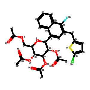 CC(=O)OC[C@H]1O[C@@H](c2cc(Cc3ccc(Cl)s3)c(F)c3ccccc23)[C@H](OC(C)=O)[C@@H](OC(C)=O)[C@@H]1OC(C)=O